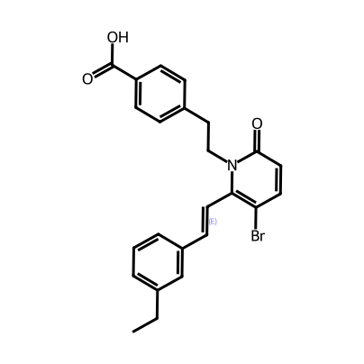 CCc1cccc(/C=C/c2c(Br)ccc(=O)n2CCc2ccc(C(=O)O)cc2)c1